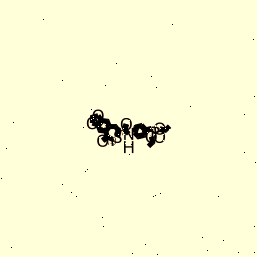 CCOP(=O)(Cc1ccc(NC(=O)[C@H]2Cc3cc4c(cc3C(=O)[C@H](C)S2)OCO4)cc1)OCC